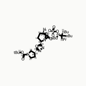 CCCCN(OS(=O)(=O)ON1C(=O)N2C[C@@H]1CC[C@H]2c1nnc([C@@H]2CCN(C(=O)OC(C)(C)C)C2)o1)C(CCC)(CCCC)CCCC